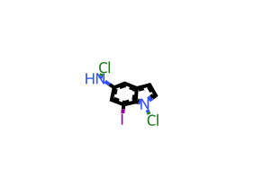 ClNc1cc(I)c2c(ccn2Cl)c1